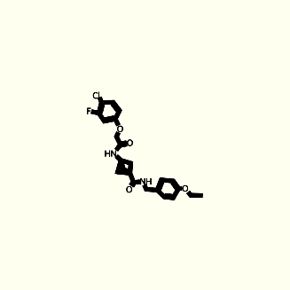 CCOc1ccc(CNC(=O)C23CC(NC(=O)COc4ccc(Cl)c(F)c4)(C2)C3)cc1